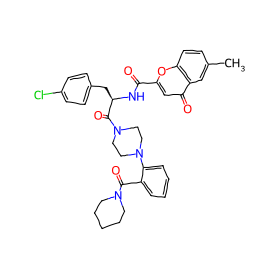 Cc1ccc2oc(C(=O)N[C@H](Cc3ccc(Cl)cc3)C(=O)N3CCN(c4ccccc4C(=O)N4CCCCC4)CC3)cc(=O)c2c1